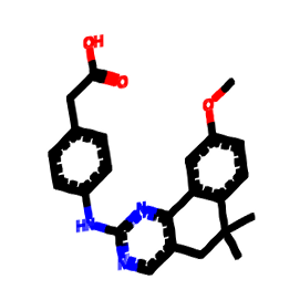 COc1ccc2c(c1)-c1nc(Nc3ccc(CC(=O)O)cc3)ncc1CC2(C)C